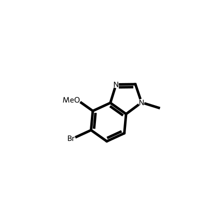 COc1c(Br)ccc2c1ncn2C